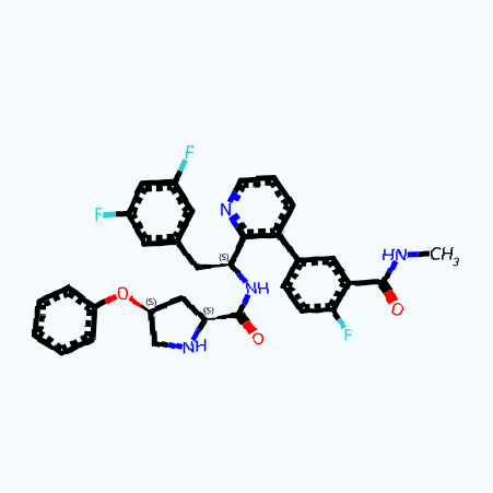 CNC(=O)c1cc(-c2cccnc2[C@H](Cc2cc(F)cc(F)c2)NC(=O)[C@@H]2C[C@H](Oc3ccccc3)CN2)ccc1F